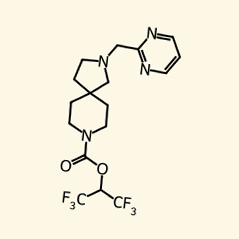 O=C(OC(C(F)(F)F)C(F)(F)F)N1CCC2(CCN(Cc3ncccn3)C2)CC1